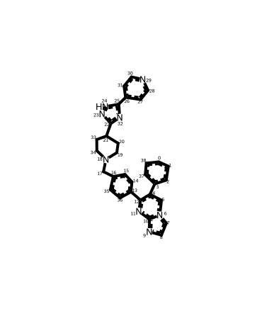 c1ccc(-c2cn3ccnc3nc2-c2ccc(CN3CCC(c4n[nH]c(-c5ccncc5)n4)CC3)cc2)cc1